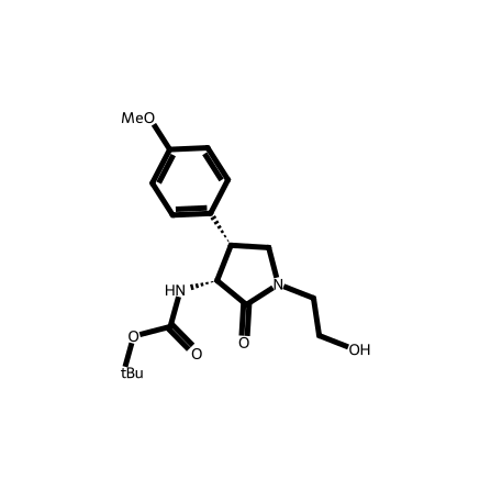 COc1ccc([C@@H]2CN(CCO)C(=O)[C@@H]2NC(=O)OC(C)(C)C)cc1